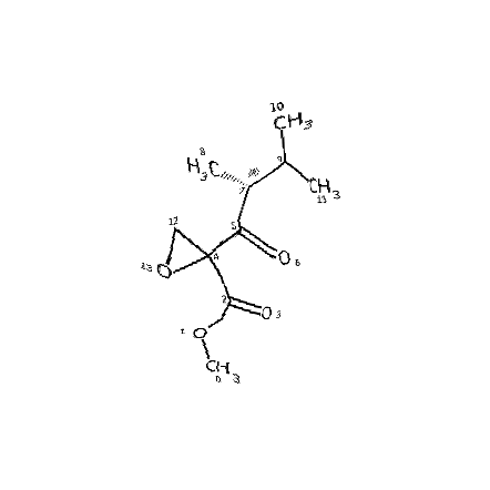 COC(=O)C1(C(=O)[C@H](C)C(C)C)CO1